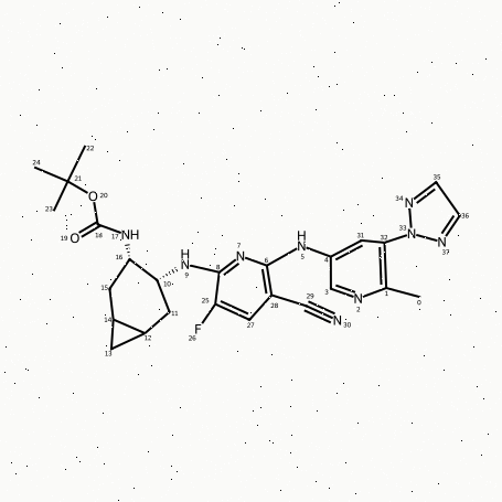 Cc1ncc(Nc2nc(N[C@@H]3CC4CC4C[C@@H]3NC(=O)OC(C)(C)C)c(F)cc2C#N)cc1-n1nccn1